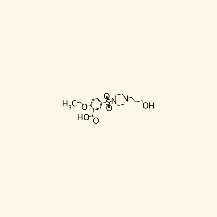 CCOc1ccc(S(=O)(=O)N2CCN(CCCO)CC2)cc1C(=O)O